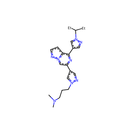 CCC(CC)n1cc(-c2nc(-c3cnn(CCCN(C)C)c3)cn3nccc23)cn1